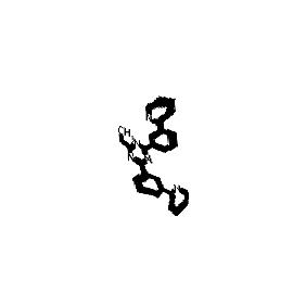 CCc1nc(-c2cccc(-c3ccccn3)c2)nc(-c2cccc(-c3ccccn3)c2)n1